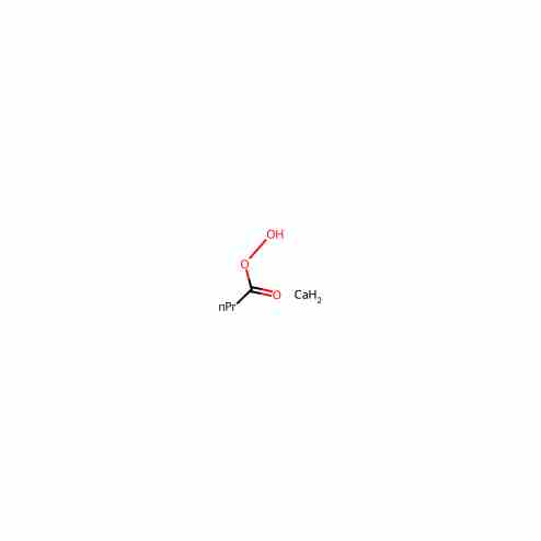 CCCC(=O)OO.[CaH2]